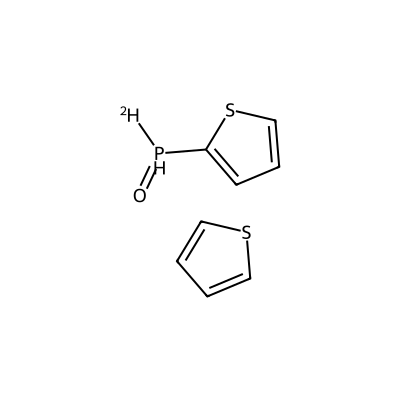 [2H][PH](=O)c1cccs1.c1ccsc1